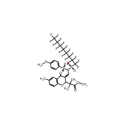 COC(=O)C(C)(C)C1Oc2ccc(C)cc2C(=O)/C1=C\N(S(=O)(=O)c1ccc(OC)cc1)S(=O)(=O)C(F)(F)C(F)(F)C(F)(F)C(F)(F)C(F)(F)C(F)(F)C(F)(F)C(F)(F)F